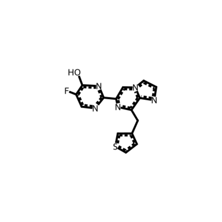 Oc1nc(-c2cn3ccnc3c(Cc3ccsc3)n2)ncc1F